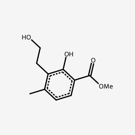 COC(=O)c1ccc(C)c(CCO)c1O